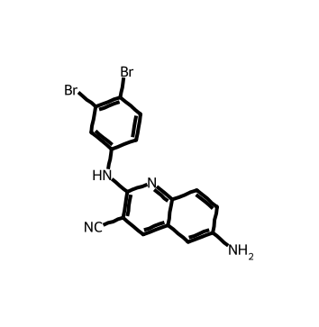 N#Cc1cc2cc(N)ccc2nc1Nc1ccc(Br)c(Br)c1